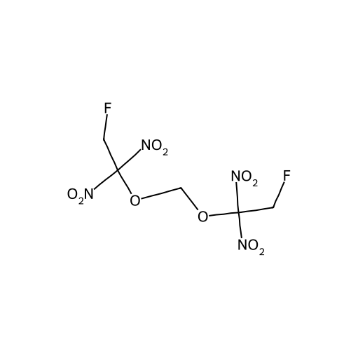 O=[N+]([O-])C(CF)(OCOC(CF)([N+](=O)[O-])[N+](=O)[O-])[N+](=O)[O-]